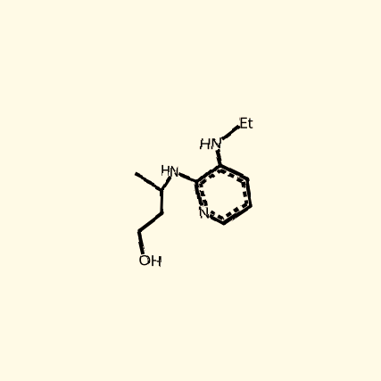 CCNc1cccnc1NC(C)CCO